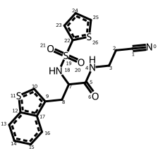 N#CCCNC(=O)C(Cc1csc2ccccc12)NS(=O)(=O)c1cccs1